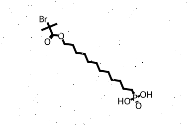 CC(C)(Br)C(=O)OCCCCCCCCCCCCP(=O)(O)O